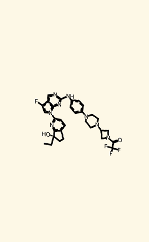 CC[C@@]1(O)CCc2ccc(-n3cc(F)c4cnc(Nc5ccc(N6CCN(C7CN(C(=O)C(F)(F)F)C7)CC6)cc5)nc43)nc21